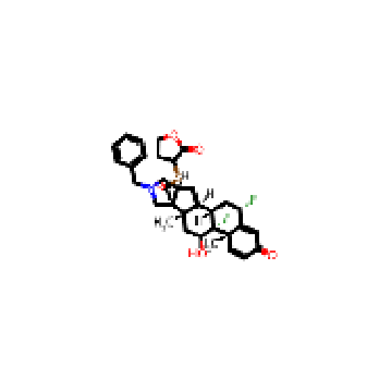 C[C@]12C=CC(=O)C=C1[C@@H](F)C[C@H]1[C@@H]3C[C@H]4CN(Cc5ccccc5)C[C@@]4(C(=O)SC4CCOC4=O)[C@@]3(C)C[C@H](O)[C@@]12F